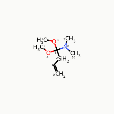 C=C[SiH2]C(OC)(OC)N(C)C